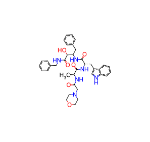 C[C@H](NC(=O)CN1CCOCC1)C(=O)N[C@@H](Cc1c[nH]c2ccccc12)C(=O)NC(Cc1ccccc1)C(O)C(=O)NCc1ccccc1